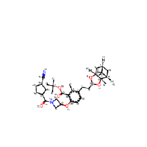 Cc1c(CCB2O[C@@H]3C[C@@H]4C[C@@H](C4(C)C)[C@]3(C)O2)ccc(OC2CN(C(=O)[C@H]3CC[C@@H](C#N)C3)C2)c1C(=O)OC(C)(C)C